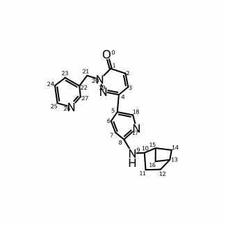 O=c1ccc(-c2ccc(NC3CCC4CC3C4)nc2)nn1Cc1cccnc1